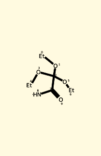 CCOC(OCC)(OCC)C([NH])=O